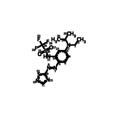 CCN(c1ccc(N=Nc2ncns2)c(NS(=O)(=O)C(F)(F)F)c1)C(C)C